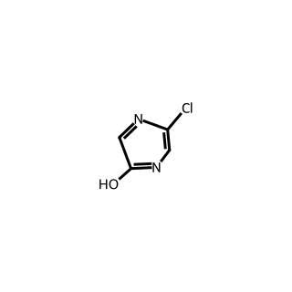 Oc1cnc(Cl)cn1